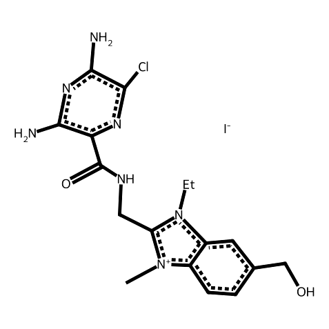 CCn1c(CNC(=O)c2nc(Cl)c(N)nc2N)[n+](C)c2ccc(CO)cc21.[I-]